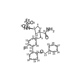 CCS(=O)(=O)N[C@H]1CC[C@](Cc2ccc(F)c(-c3ccccc3OCc3ccccc3)c2)(C(N)=O)C1